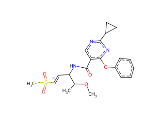 COC(C)C(/C=C/S(C)(=O)=O)NC(=O)c1cnc(C2CC2)nc1Oc1ccccc1